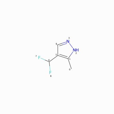 Cc1[nH]n[c]c1C(F)F